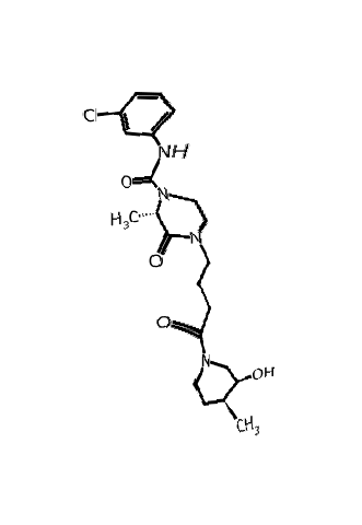 C[C@H]1CCN(C(=O)CCCN2CCN(C(=O)Nc3cccc(Cl)c3)[C@@H](C)C2=O)C[C@H]1O